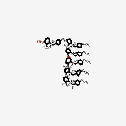 COc1ccc(C[N+](C)(C)c2ccccc2C)cc1.COc1ccc(C[N+](C)(C)c2ccccc2C)cc1.COc1ccc(C[N+](C)(C)c2ccccc2C)cc1.COc1ccc(C[N+](C)(C)c2ccccc2C)cc1.COc1ccc(C[N+](C)(C)c2ccccc2C)cc1.COc1ccc(C[N+](C)(C)c2ccccc2C)cc1.[F-].[F-].[F-].[F-].[F-].[F-]